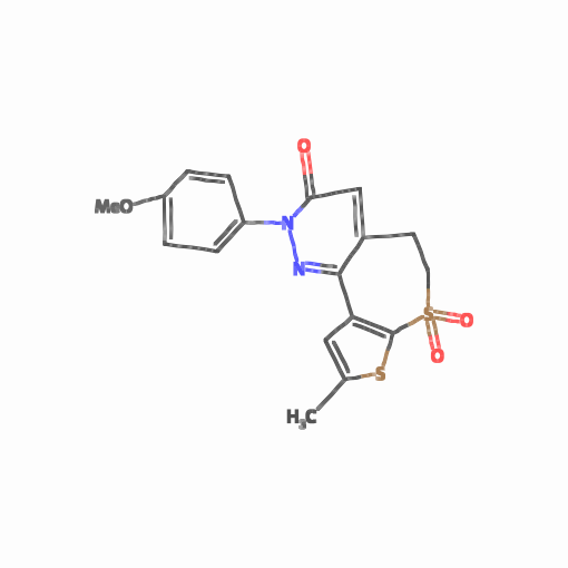 COc1ccc(-n2nc3c(cc2=O)CCS(=O)(=O)c2sc(C)cc2-3)cc1